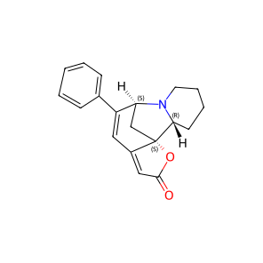 O=C1C=C2C=C(c3ccccc3)[C@@H]3C[C@@]2(O1)[C@H]1CCCCN31